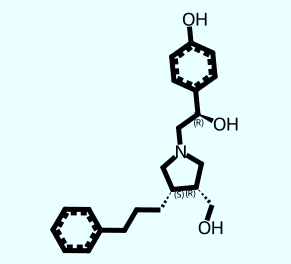 OC[C@H]1CN(C[C@H](O)c2ccc(O)cc2)C[C@H]1CCCc1ccccc1